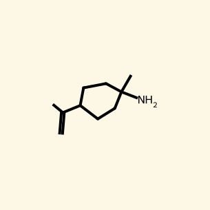 C=C(C)C1CCC(C)(N)CC1